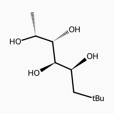 C[C@@H](O)[C@H](O)[C@H](O)[C@@H](O)CC(C)(C)C